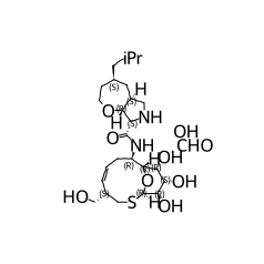 CC(C)C[C@@H]1CCO[C@@H]2[C@H](CN[C@@H]2C(=O)N[C@@H]2CC=C[C@@H](CO)CS[C@H]3O[C@H]2[C@H](O)[C@H](O)[C@H]3O)C1.O=CO